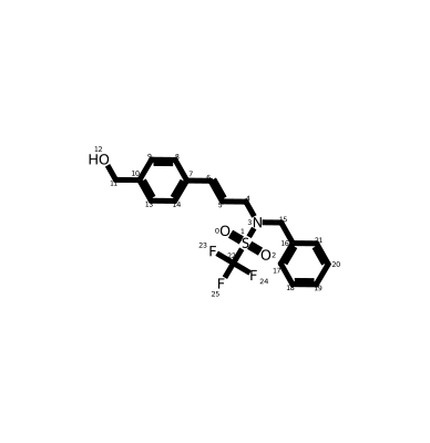 O=S(=O)(N(CC=Cc1ccc(CO)cc1)Cc1ccccc1)C(F)(F)F